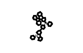 C1=CC2=C(CC1)C1(c3ccccc32)c2ccccc2-c2ccc(N(c3ccccc3)c3ccc(-c4ccc5c(c4)c4ccccc4n5-c4ccccc4)cc3)cc21